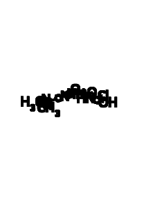 CN(C)c1ncc(-c2ccc(N3CCN(C(=O)CN4CC[C@@H](C(=O)Nc5ccc(O)c(Cl)c5)C4)CC3)cc2)cn1